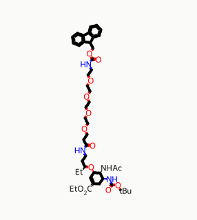 CCOC(=O)C1=C[C@@H](O[C@@H](CC)CCNC(=O)CCOCCOCCOCCOCCNC(=O)OCC2c3ccccc3-c3ccccc32)[C@H](NC(C)=O)[C@@H](NC(=O)OC(C)(C)C)C1